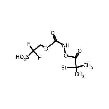 CCC(C)(C)C(=O)ONC(=O)OCC(F)(F)S(=O)(=O)O